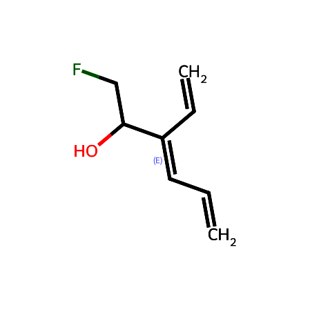 C=C/C=C(\C=C)C(O)CF